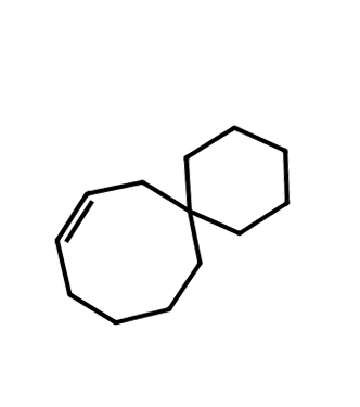 C1=CCC2(CCCC1)CCCCC2